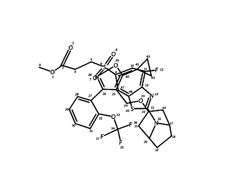 COC(=O)CCS(=O)(=O)c1cc(F)c2nc(N3C4CCC3CC(OCc3c(-c5ccccc5OC(F)(F)F)noc3C3CC3)C4)sc2c1